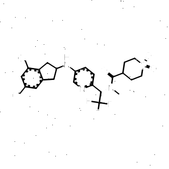 CN(C(=O)C1CCS(=O)(=O)CC1)[C@@H](c1ccc(NC2Cc3cc(Cl)cc(Cl)c3C2)cn1)C(F)(F)F